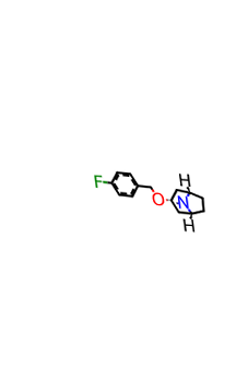 CN1[C@@H]2CC[C@H]1C[C@@H](OCc1ccc(F)cc1)C2